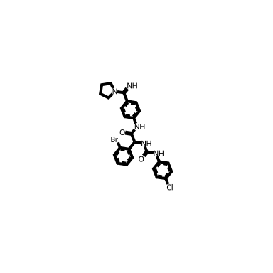 N=C(c1ccc(NC(=O)C(NC(=O)Nc2ccc(Cl)cc2)c2ccccc2Br)cc1)N1CCCC1